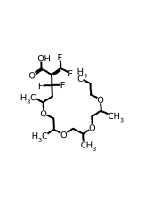 CCCOC(C)COC(C)COC(C)COC(C)CC(F)(F)C(C(=O)O)=C(F)F